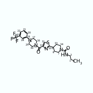 CCCNC(=O)N1CCC(c2nc(C(=O)N3CCN(c4cccc(C(F)(F)F)c4)CC3)cs2)CC1